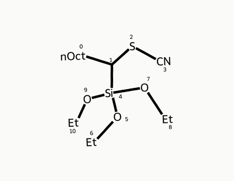 CCCCCCCCC(SC#N)[Si](OCC)(OCC)OCC